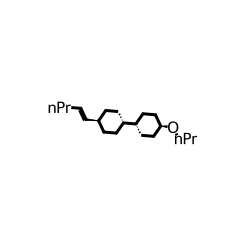 CCCC=C[C@H]1CC[C@H]([C@H]2CC[C@H](OCCC)CC2)CC1